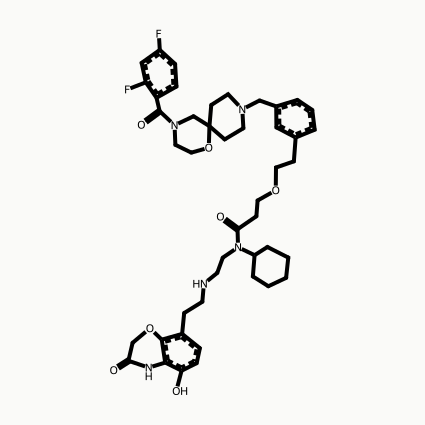 O=C1COc2c(CCNCCN(C(=O)CCOCCc3cccc(CN4CCC5(CC4)CN(C(=O)c4ccc(F)cc4F)CCO5)c3)C3CCCCC3)ccc(O)c2N1